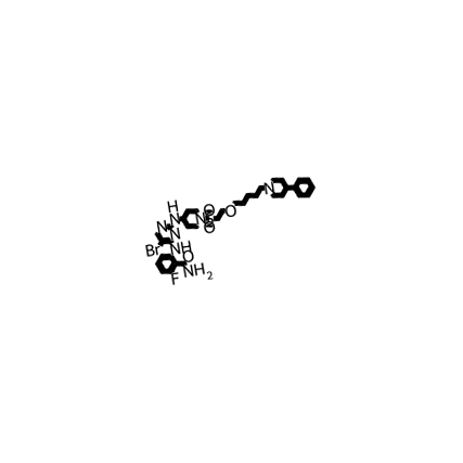 NC(=O)c1c(F)cccc1Nc1nc(NC2CCN(S(=O)(=O)CCOCCCCCN3CCC(c4ccccc4)CC3)CC2)ncc1Br